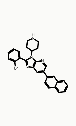 Brc1ccccc1-c1nc2cc(-c3ccc4ccccc4c3)cnc2n1C1CCNCC1